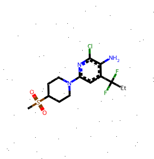 CCC(F)(F)c1cc(N2CCC(S(C)(=O)=O)CC2)nc(Cl)c1N